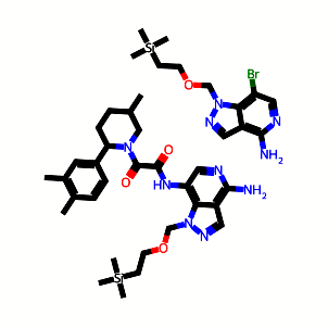 C[Si](C)(C)CCOCn1ncc2c(N)ncc(Br)c21.Cc1ccc(C2CCC(C)CN2C(=O)C(=O)Nc2cnc(N)c3cnn(COCC[Si](C)(C)C)c23)cc1C